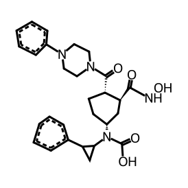 O=C(NO)[C@H]1C[C@H](N(C(=O)O)C2CC2c2ccccc2)CC[C@@H]1C(=O)N1CCN(c2ccccc2)CC1